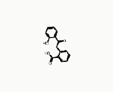 O=C(Cc1ccccc1C(=O)O)c1ccccc1O